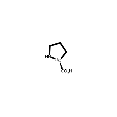 O=C(O)[13C@@H]1CCCN1